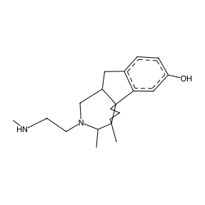 CNCCN1CC2Cc3ccc(O)cc3C23CCCC3(C)C1C